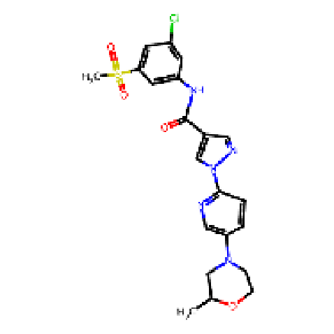 CC1CN(c2ccc(-n3cc(C(=O)Nc4cc(Cl)cc(S(C)(=O)=O)c4)cn3)nc2)CCO1